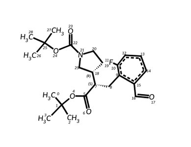 CC(C)(C)OC(=O)[C@@H](Cc1c(F)cccc1C=O)[C@H]1CCN(C(=O)OC(C)(C)C)C1